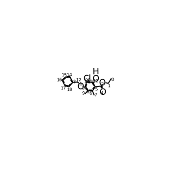 CCOC(=O)c1c(C)c(C)c(OCc2ccccc2)c(Cl)c1O